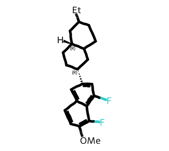 CCC1CCC2C[C@H](c3cc(F)c4c(F)c(OC)ccc4c3)CC[C@@H]2C1